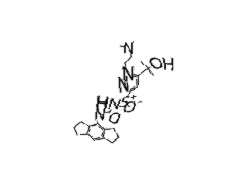 CN(C)CCn1nc([S+]([O-])NC(=O)Nc2c3c(cc4c2CCC4)CCC3)cc1C(C)(C)O